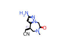 CN1C/C(=C\C#N)c2cc(N)nn2CC1=O